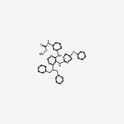 CN(C(=O)OC(C)(C)C)c1cccc(Nc2ncnc(N(Cc3ccccc3)Cc3ccccc3)c2Nc2ncc(Oc3ccccc3)cn2)c1